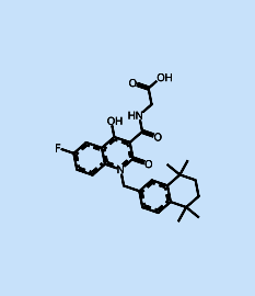 CC1(C)CCC(C)(C)c2cc(Cn3c(=O)c(C(=O)NCC(=O)O)c(O)c4cc(F)ccc43)ccc21